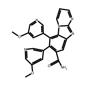 COc1cncc(-c2c(C(N)=O)cc3nc4ncccn4c3c2-c2cncc(OC)c2)c1